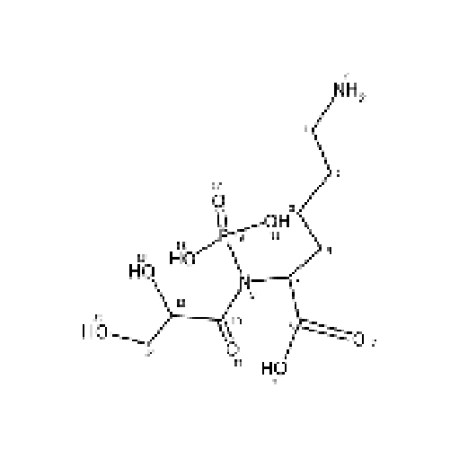 NCCCCC(C(=O)O)N(C(=O)C(O)CO)P(=O)(O)O